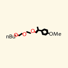 CCCCOCCOCCOC=C(C)c1ccc(OC)cc1